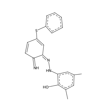 Cc1cc(C)c(O)c(N/N=C2/C=C(Sc3ccccc3)C=CC2=N)c1